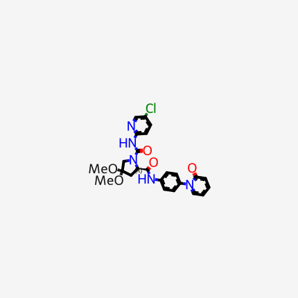 COC1(OC)C[C@H](C(=O)Nc2ccc(-n3ccccc3=O)cc2)N(C(=O)Nc2ccc(Cl)cn2)C1